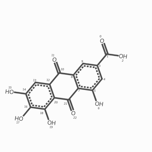 O=C(O)c1cc(O)c2c(c1)C(=O)c1cc(O)c(O)c(O)c1C2=O